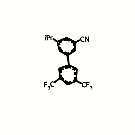 CC(C)c1cc(C#N)cc(-c2cc(C(F)(F)F)cc(C(F)(F)F)c2)c1